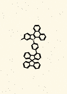 Cc1ccc2c3c4ccccc4c4ccccc4c3n(-c3ccc(-c4cccc5c4-c4ccccc4C54c5ccccc5-c5ccccc54)cc3)c2c1